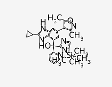 Cc1noc(C)c1-c1cc(C(O)(c2ccccn2)c2ncc3n2[Si]3(C)C(C)(C)C)c2nc(C3CC3)[nH]c2c1